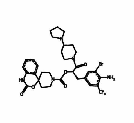 Nc1c(Br)cc(C[C@@H](OC(=O)N2CCC3(CC2)OC(=O)Nc2ccccc23)C(=O)N2CCC(N3CCCC3)CC2)cc1C(F)(F)F